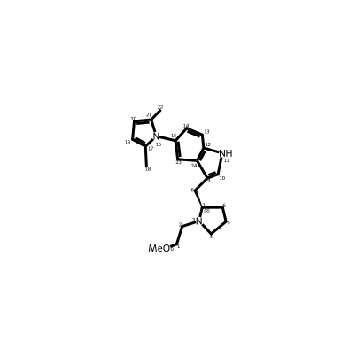 COCCN1CCC[C@@H]1Cc1c[nH]c2ccc(-n3c(C)ccc3C)cc12